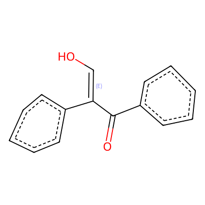 O=C(/C(=C/O)c1ccccc1)c1ccccc1